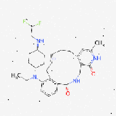 CCN(c1cccc2c1C/C=C/CCc1cc(C)[nH]c(=O)c1CNC2=O)[C@H]1CC[C@H](NCC(F)F)CC1